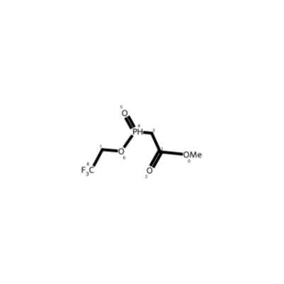 COC(=O)C[PH](=O)OCC(F)(F)F